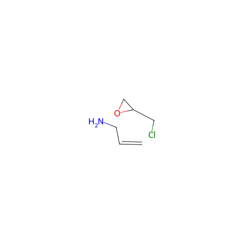 C=CCN.ClCC1CO1